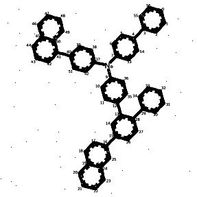 c1ccc(-c2ccc(N(c3ccc(-c4cc(-c5ccc6ccccc6c5)ccc4-c4ccccc4)cc3)c3ccc(-c4cccc5ccccc45)cc3)cc2)cc1